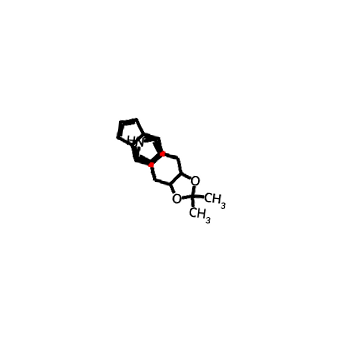 CC1(C)OC2C3c4c[nH]cc4C(c4cc5c(cc43)C=C=C5)C2O1